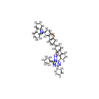 C1=CCC(C2=NC(c3cccc4c3sc3cc(-c5ccc6c(c5)sc5ccc(-n7c8ccccc8c8ccccc87)cc56)ccc34)NC(c3ccccc3)=N2)C=C1